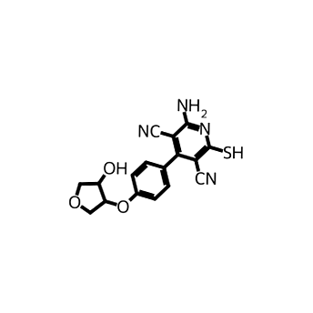 N#Cc1c(N)nc(S)c(C#N)c1-c1ccc(OC2COCC2O)cc1